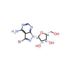 Nc1ncnc2c1c(Br)nn2[C@@H]1O[C@H](CO)[C@H](O)[C@@H]1O